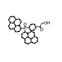 O=C(CO)c1ccc(P(=O)(c2ccc3ccc4cccc5ccc2c3c45)c2ccc3ccc4cccc5ccc2c3c45)cc1